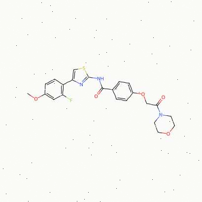 COc1ccc(-c2csc(NC(=O)c3ccc(OCC(=O)N4CCOCC4)cc3)n2)c(F)c1